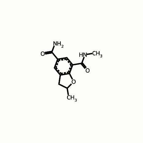 CNC(=O)c1cc(C(N)=O)cc2c1OC(C)C2